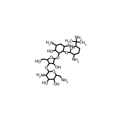 CC(C)(N)C1CCC(N)C(OC2C(N)CC(N)C(O)C2OC2OC(CO)C(OC3OC(CN)C(O)C(O)C3N)C2O)O1